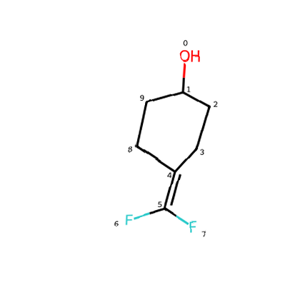 OC1CCC(=C(F)F)CC1